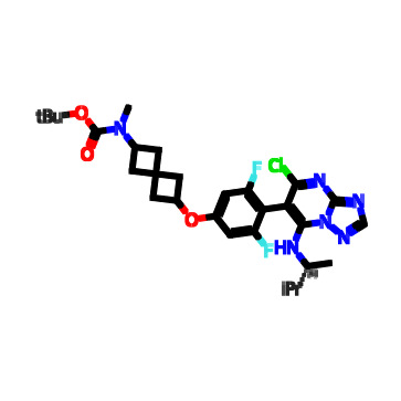 CC(C)[C@@H](C)Nc1c(-c2c(F)cc(OC3CC4(C3)CC(N(C)C(=O)OC(C)(C)C)C4)cc2F)c(Cl)nc2ncnn12